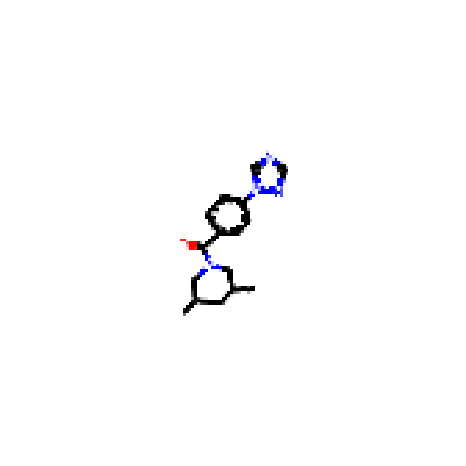 CC1CC(C)CN(C(=O)c2ccc(-n3cncn3)cc2)C1